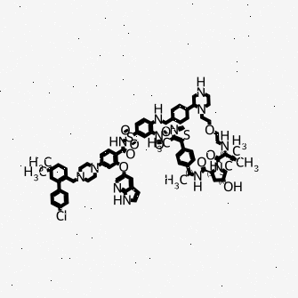 Cc1ncsc1-c1ccc([C@H](C)NC(=O)[C@@H]2C[C@@H](O)CN2C(=O)[C@@H](NCCOCCN2CCNCC2C2CCC(CNc3ccc(S(=O)(=O)NC(=O)c4ccc(N5CCN(CC6=C(c7ccc(Cl)cc7)CC(C)(C)CC6)CC5)cc4Oc4cnc5[nH]ccc5c4)cc3[N+](=O)[O-])CC2)C(C)(C)C)cc1